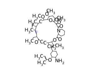 CC=C(C)OC1CC(C=C(C)C2OC(=O)C3CCCCN3C(=O)C(=O)C3(O)OC(C(OC)CC(C)C(F)/C(C)=C/C(CC)C(=O)CCC2C)C(OC)CC3C)CCC1N